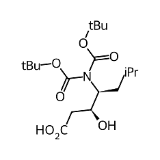 CC(C)C[C@@H]([C@@H](O)CC(=O)O)N(C(=O)OC(C)(C)C)C(=O)OC(C)(C)C